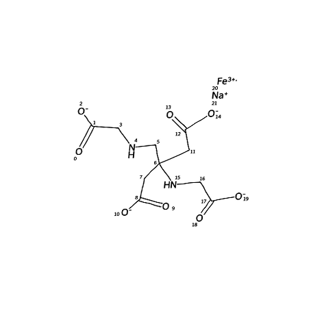 O=C([O-])CNCC(CC(=O)[O-])(CC(=O)[O-])NCC(=O)[O-].[Fe+3].[Na+]